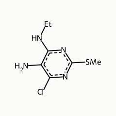 CCNc1nc(SC)nc(Cl)c1N